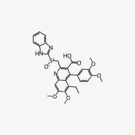 CCc1c(OC)c(OC)cc2nc(C[S+]([O-])c3nc4ccccc4[nH]3)c(C(=O)O)c(-c3ccc(OC)c(OC)c3)c12